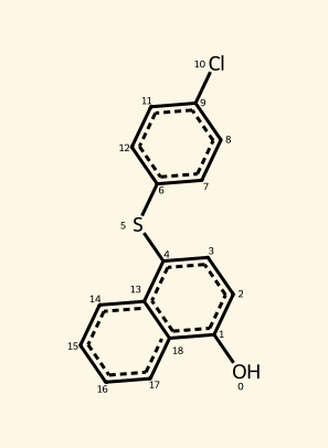 Oc1ccc(Sc2ccc(Cl)cc2)c2ccccc12